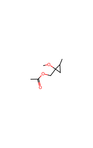 COC1(COC(C)=O)CC1C